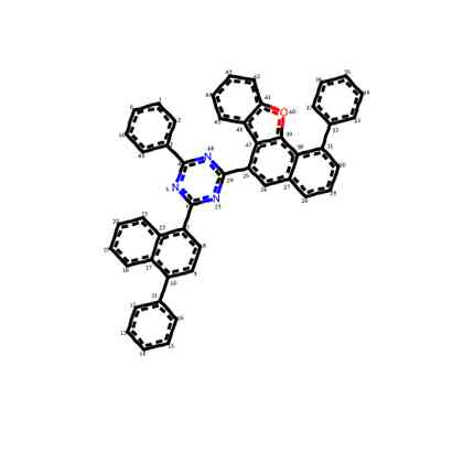 c1ccc(-c2nc(-c3ccc(-c4ccccc4)c4ccccc34)nc(-c3cc4cccc(-c5ccccc5)c4c4oc5ccccc5c34)n2)cc1